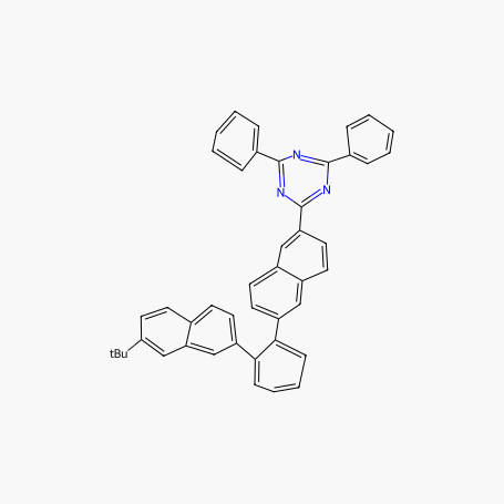 CC(C)(C)c1ccc2ccc(-c3ccccc3-c3ccc4cc(-c5nc(-c6ccccc6)nc(-c6ccccc6)n5)ccc4c3)cc2c1